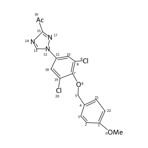 COc1ccc(COc2c(Cl)cc(-n3cnc(C(C)=O)n3)cc2Cl)cc1